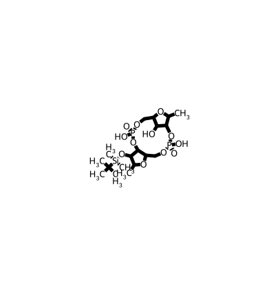 CC1OC2COP(=O)(O)OC3C(COP(=O)(O)OC1C2O)OC(C)C3O[Si](C)(C)C(C)(C)C